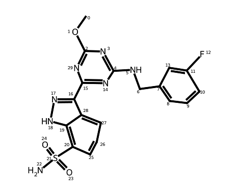 COc1nc(NCc2cccc(F)c2)nc(-c2n[nH]c3c(S(N)(=O)=O)cccc23)n1